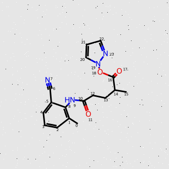 Cc1cccc(C#N)c1NC(=O)CCC(C)C(=O)On1cccn1